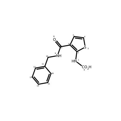 O=C(O)Nc1sccc1C(=O)NCc1ccccc1